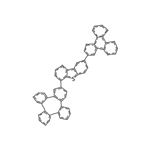 c1ccc2c(c1)-c1ccccc1-c1ccc(-c3cccc4c3sc3ccc(-c5ccc6c7ccccc7c7ccccc7c6c5)cc34)cc1-c1ccccc1-2